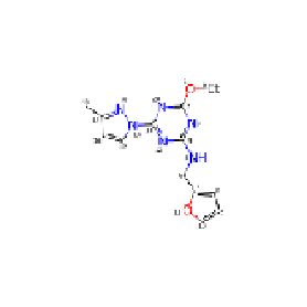 CCOc1nc(NCc2ccco2)nc(-n2ccc(C)n2)n1